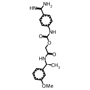 COc1cccc([C@H](C)NC(=O)COC(=O)Nc2ccc(C(=N)N)cc2)c1